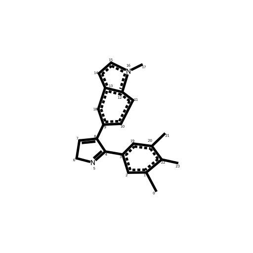 Cc1cc(C2=NCC=C2c2ccc3c(ccn3C)c2)cc(C)c1C